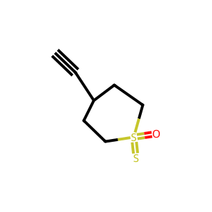 C#CC1CCS(=O)(=S)CC1